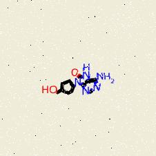 Nc1ncnc2c1[nH]c(=O)n2C1CCC(CO)CC1